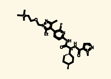 CCc1c(-c2ccc(NC(=O)[C@@H](NC(=O)c3ccnn3C)[C@H]3CC[C@H](C)CC3)nc2F)c(C)nn1COCC[Si](C)(C)C